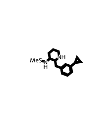 CSNC1CCCNC1Cc1cccc(C2CC2)c1